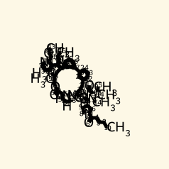 CCC/C=C/C(=O)N1CC[C@H](C(=O)N(C)[C@H](C(=O)N[C@H]2Cc3cccc(c3)-c3ccc4c(c3)c(c(-c3cccnc3COC)n4CC)CC(C)(C)COC(=O)[C@@H]3CCCN(N3)C2=O)C(C)C)C1